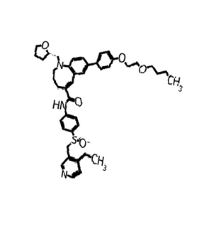 CCCCOCCOc1ccc(-c2ccc3c(c2)/C=C(/C(=O)Nc2ccc([S+]([O-])Cc4cnccc4CC)cc2)CCCN3C[C@@H]2CCCO2)cc1